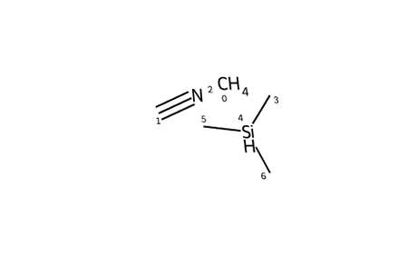 C.C#N.C[SiH](C)C